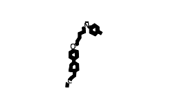 CCCCCC1CCC(c2ccc(OCCCCCCN(C)c3ccc(C)cc3)cc2)CC1